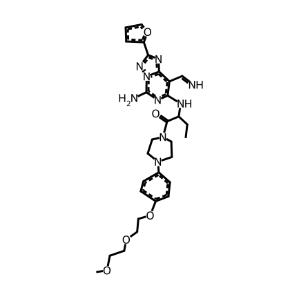 CCC(Nc1nc(N)n2nc(-c3ccco3)nc2c1C=N)C(=O)N1CCN(c2ccc(OCCOCCOC)cc2)CC1